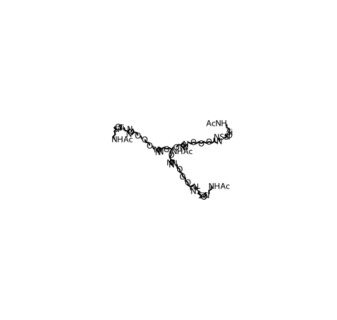 CC(=O)NCCC[Si](C)(C)O[Si](C)(C)CCc1ncc(COCCOCCOCCn2cc(COCC(COCc3cn(CCOCCOCCOCc4cnc(SC[Si](C)(C)O[Si](C)(C)CCCNC(C)=O)nc4)nn3)(COCc3cn(CCOCCOCCOCc4cnc(SC[Si](C)(C)O[Si](C)(C)CCCNC(C)=O)nc4)nn3)NC(C)=O)nn2)cn1